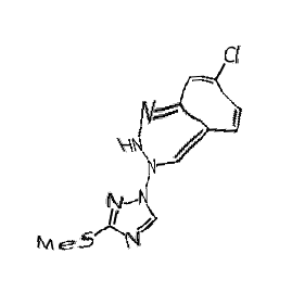 CSc1ncn(N2C=c3ccc(Cl)cc3=NN2)n1